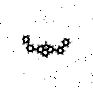 c1cncc(-c2cccc(-c3cc4ccc5cc(-c6cccc(-c7cccnc7)c6)cc6[nH]c(c3)c4c56)c2)c1